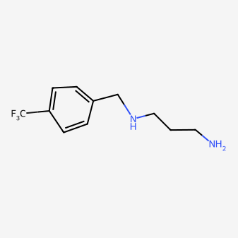 NCCCNCc1ccc(C(F)(F)F)cc1